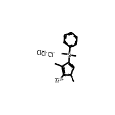 CC1=[C]([Ti+3])C(C)C=C1[Si](C)(C)c1ccccc1.[Cl-].[Cl-].[Cl-]